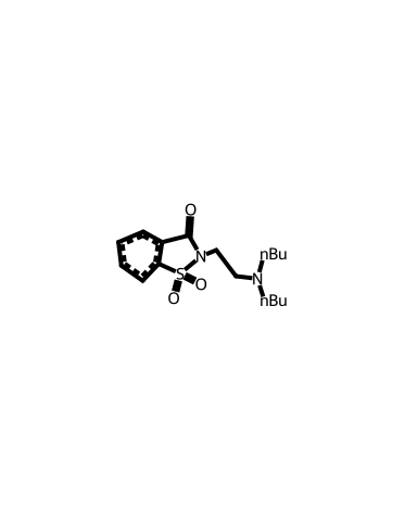 CCCCN(CCCC)CCN1C(=O)c2ccccc2S1(=O)=O